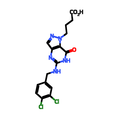 O=C(O)CCCn1ncc2nc(NCc3ccc(Cl)c(Cl)c3)[nH]c(=O)c21